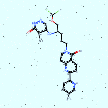 O=c1[nH]ncc(NC(CCCn2ccc3nc(-c4ccc(C(F)(F)F)cn4)ccc3c2=O)COC(F)F)c1C(F)(F)F